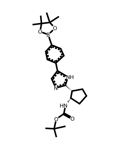 CC(C)(C)OC(=O)N[C@H]1CCC[C@H]1c1ncc(-c2ccc(B3OC(C)(C)C(C)(C)O3)cc2)[nH]1